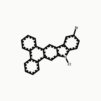 CCn1c2ccc(Br)cc2c2cc3c4ccccc4c4ccccc4c3cc21